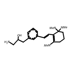 CNC1=C(/C=C/c2cccc(CC(O)CN)c2)C(NC)(NC)CCC1